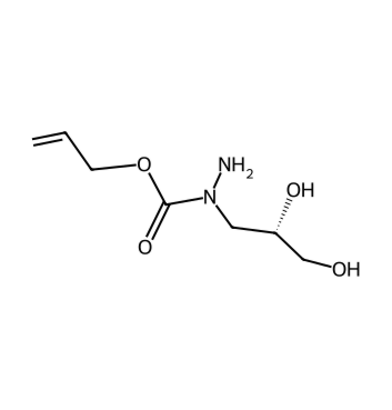 C=CCOC(=O)N(N)C[C@H](O)CO